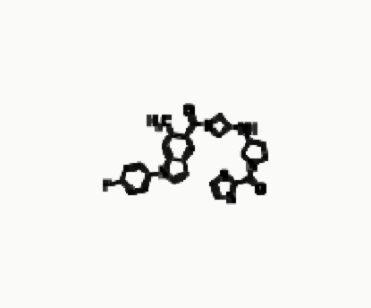 Cc1cc2c(ccn2-c2ccc(F)cc2)cc1C(=O)N1CC(N[C@H]2CCN(C(=O)c3nccs3)C2)C1